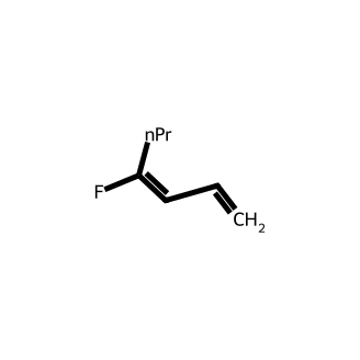 C=C/C=C(/F)CCC